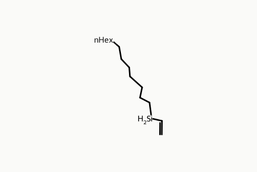 C=C[SiH2]CCCCCCCCCCCCC